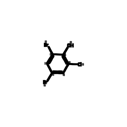 Oc1c(Cl)cc(Br)cc1Br